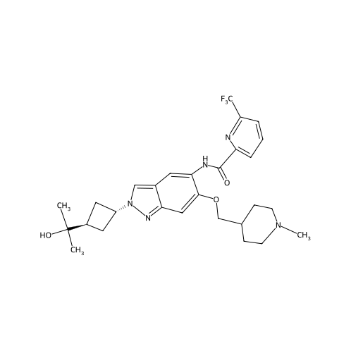 CN1CCC(COc2cc3nn([C@H]4C[C@H](C(C)(C)O)C4)cc3cc2NC(=O)c2cccc(C(F)(F)F)n2)CC1